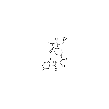 Cc1ccc(F)c(C(=O)N[C@@H](C(=O)N2CCC3(CC2)C(=O)N(C)C(=O)N3CC2CC2)C(C)C)c1